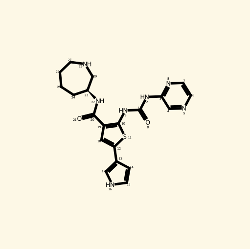 O=C(Nc1cnccn1)Nc1sc(-c2cc[nH]c2)cc1C(=O)N[C@H]1CCCCNC1